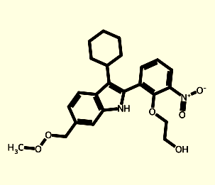 COOCc1ccc2c(C3CCCCC3)c(-c3cccc([N+](=O)[O-])c3OCCO)[nH]c2c1